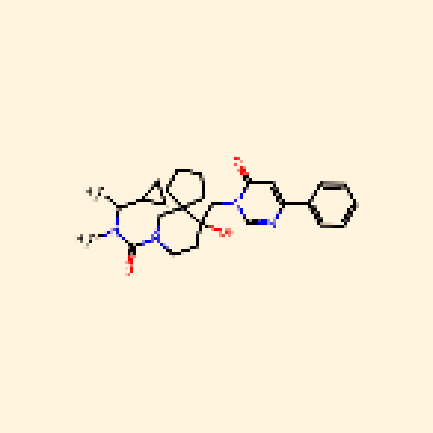 CC(C1CC1)N(C)C(=O)N1CCC(O)(Cn2cnc(-c3ccccc3)cc2=O)C2(CCCC2)C1